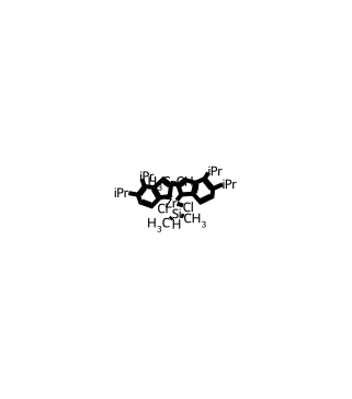 CC1=Cc2c(ccc(C(C)C)c2C(C)C)[CH]1[Zr]([Cl])([Cl])([CH]1C(C)=Cc2c1ccc(C(C)C)c2C(C)C)[SiH](C)C